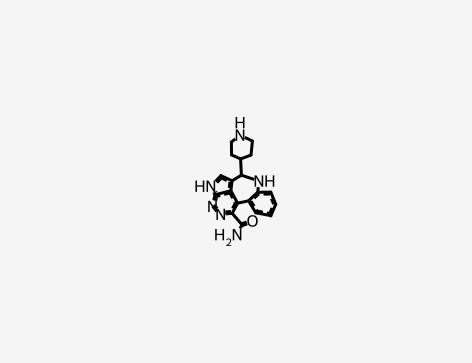 NC(=O)c1nnc2[nH]cc3c2c1-c1ccccc1NC3C1CCNCC1